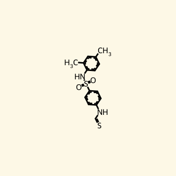 Cc1ccc(NS(=O)(=O)c2ccc(NC=S)cc2)c(C)c1